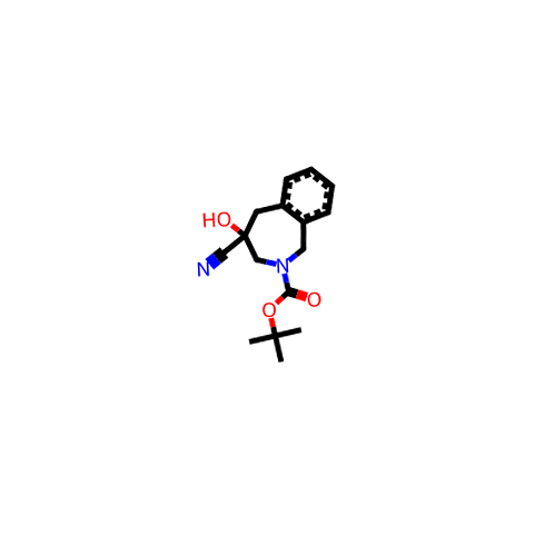 CC(C)(C)OC(=O)N1Cc2ccccc2CC(O)(C#N)C1